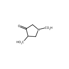 O=C(O)C1CN(C(=O)O)CC1=O